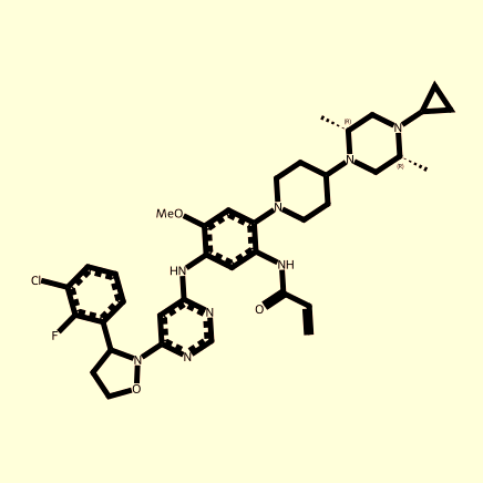 C=CC(=O)Nc1cc(Nc2cc(N3OCCC3c3cccc(Cl)c3F)ncn2)c(OC)cc1N1CCC(N2C[C@@H](C)N(C3CC3)C[C@H]2C)CC1